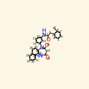 O=C(Cc1ccccc1I)Nc1cccc(N2C(=O)CC(=O)Nc3c2ccc2ccccc32)c1